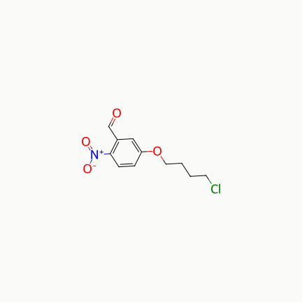 O=Cc1cc(OCCCCCl)ccc1[N+](=O)[O-]